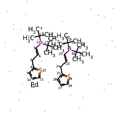 CC(C)(C)P(C=CCc1cccs1)C(C)(C)C.CC(C)(C)P(C=CCc1cccs1)C(C)(C)C.[Pd]